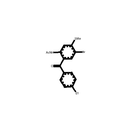 CCc1ccc(C(=O)c2cc(Br)c(SC)cc2NC(C)=O)cc1